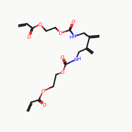 C=CC(=O)OCCOC(=O)NCC(=C)C(=C)CNC(=O)OCCOC(=O)C=C